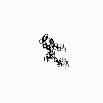 CC(C)(C)OC(=O)N1CCOC[C@H]1c1cc(-c2cnc3c(n2)c(C(F)(F)F)cn3COCC[Si](C)(C)C)cc2c1CN(C(=O)N1C3CCC1COC3)CC2